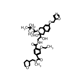 CCOc1cc(C(=O)N(C)CC2CCCOC2)ccc1C(=O)NC[C@@H](O)[C@@]1(O)Cc2ccc(OCc3cnco3)cc2CN1C(=O)OC(C)(C)C